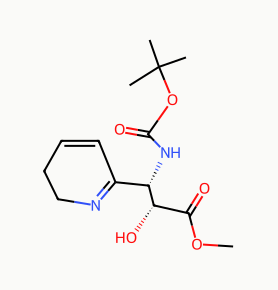 COC(=O)[C@H](O)[C@@H](NC(=O)OC(C)(C)C)C1=NCCC=C1